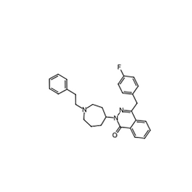 O=c1c2ccccc2c(Cc2ccc(F)cc2)nn1C1CCCN(CCc2ccccc2)CC1